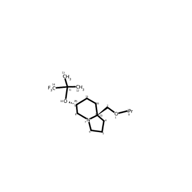 CC(C)OC[C@@]12CCCN1C[C@H](OC(C)(C)C(F)(F)F)CC2